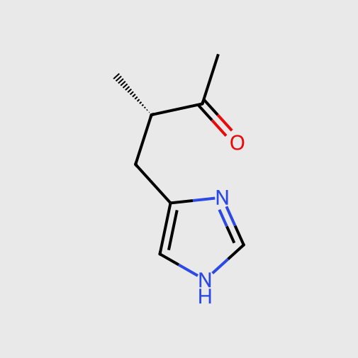 CC(=O)[C@@H](C)Cc1c[nH]cn1